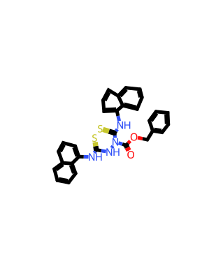 O=C(OCc1ccccc1)N(NC(=S)Nc1cccc2ccccc12)C(=S)Nc1cccc2ccccc12